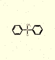 [Li][Si](C)(c1ccccc1)c1ccccc1